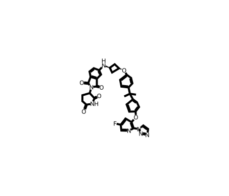 CC(C)(c1ccc(Oc2cc(F)cnc2-n2ccnn2)cc1)c1ccc(O[C@H]2C[C@H](Nc3ccc4c(c3)C(=O)N(C3CCC(=O)NC3=O)C4=O)C2)cc1